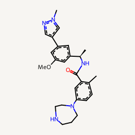 COc1cc(-c2cnn(C)c2)cc([C@@H](C)NC(=O)c2cc(N3CCCNCC3)ccc2C)c1